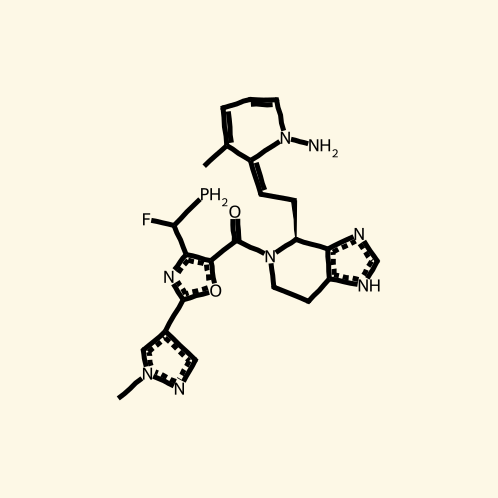 CC1=CC=CN(N)/C1=C\C[C@H]1c2nc[nH]c2CCN1C(=O)c1oc(-c2cnn(C)c2)nc1C(F)P